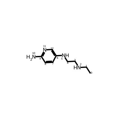 CCNCCNc1ccc(N)nc1